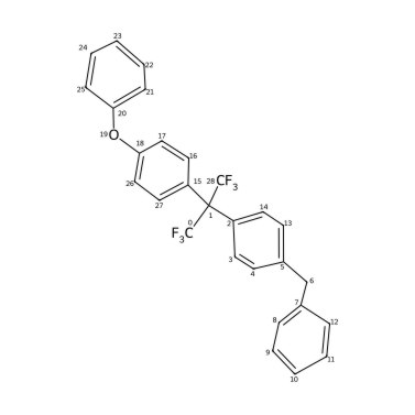 FC(F)(F)C(c1ccc(Cc2ccccc2)cc1)(c1ccc(Oc2ccccc2)cc1)C(F)(F)F